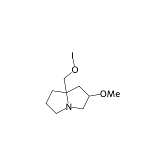 COC1CN2CCCC2(COI)C1